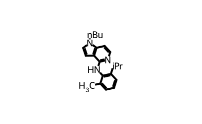 CCCCn1ccc2c(Nc3c(C)cccc3C(C)C)nccc21